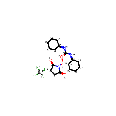 F[B-](F)(F)F.O=C1CCC(=O)N1O[O+]=C(N=C1CCCCC1)N=C1CCCCC1